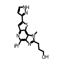 CC(C)c1nc2cc(-c3cc[nH]n3)sc2c2c1nc(CCCO)n2C